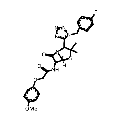 COc1ccc(OCC(=O)NC2C(=O)N3C(c4nnnn4Cc4ccc(F)cc4)C(C)(C)S[C@H]23)cc1